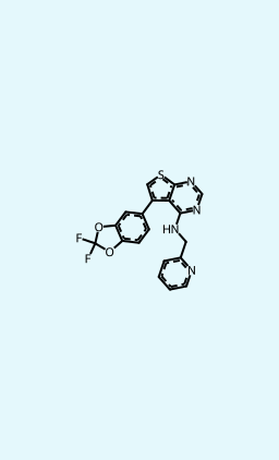 FC1(F)Oc2ccc(-c3csc4ncnc(NCc5ccccn5)c34)cc2O1